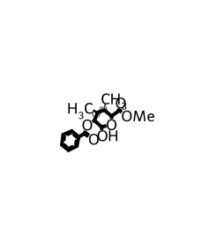 COC(=O)C1OC(O)C(OC(=O)c2ccccc2)[C@@H](C)[C@@H]1C